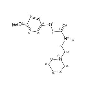 COc1ccc(OCC(=O)N(C)CCN2CCCCC2)cc1